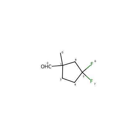 CC1(C=O)CCC(F)(F)C1